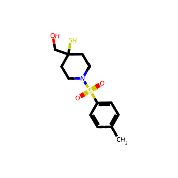 Cc1ccc(S(=O)(=O)N2CCC(S)(CO)CC2)cc1